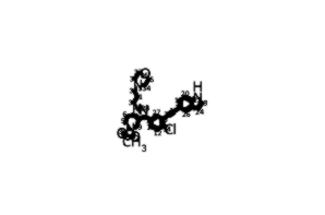 CS(=O)(=O)N1CCc2c(c(-c3ccc(Cl)c(C#Cc4ccc5[nH]ccc5c4)c3)nn2CCCN2CCOCC2)C1